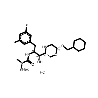 CCCCCCN(C)C(=O)N[C@@H](Cc1cc(F)cc(F)c1)[C@H](O)[C@H]1CO[C@@H](OCC2CCCCC2)CN1.Cl